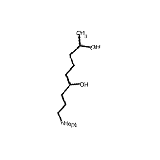 CCCCCCCCCCC(O)CCCC(C)O